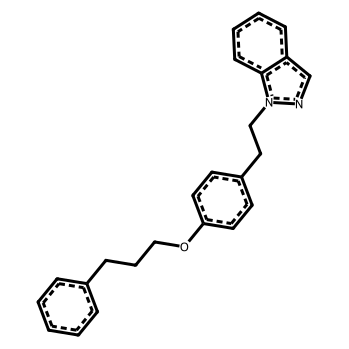 c1ccc(CCCOc2ccc(CCn3ncc4ccccc43)cc2)cc1